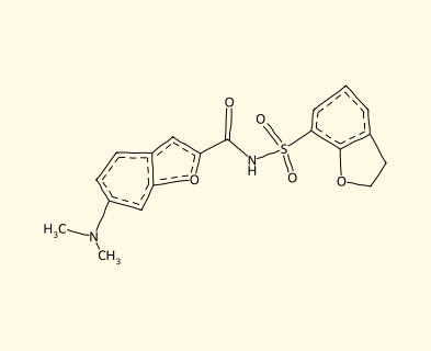 CN(C)c1ccc2cc(C(=O)NS(=O)(=O)c3cccc4c3OCC4)oc2c1